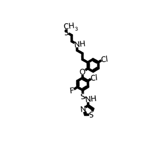 CSCCNCCCc1cc(Cl)ccc1Oc1cc(F)c(SNc2cscn2)cc1Cl